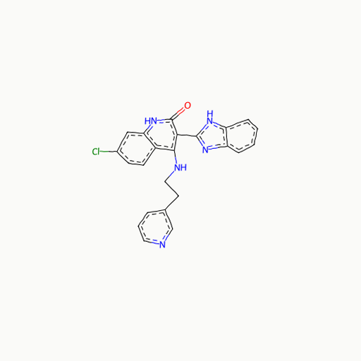 O=c1[nH]c2cc(Cl)ccc2c(NCCc2cccnc2)c1-c1nc2ccccc2[nH]1